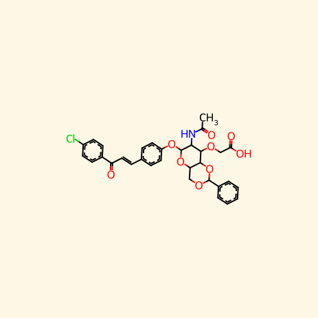 CC(=O)NC1C(Oc2ccc(/C=C/C(=O)c3ccc(Cl)cc3)cc2)OC2COC(c3ccccc3)OC2C1OCC(=O)O